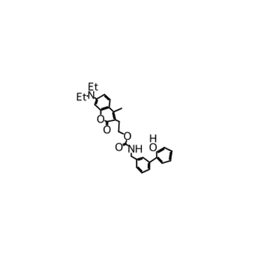 CCN(CC)c1ccc2c(C)c(CCOC(=O)NCc3cccc(-c4ccccc4O)c3)c(=O)oc2c1